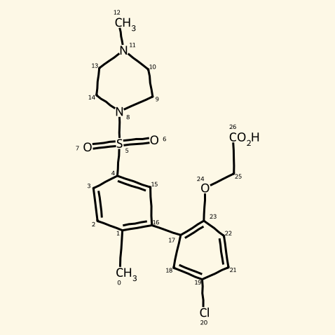 Cc1ccc(S(=O)(=O)N2CCN(C)CC2)cc1-c1cc(Cl)ccc1OCC(=O)O